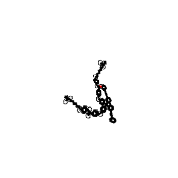 C=CC(=O)OCCCCCCOc1ccc(OC(=O)c2ccc(Oc3ccc(C4(c5ccc(Oc6ccc(C(=O)Oc7ccc(OCCCCCCOC(=O)C=C)cc7)cc6)cc5)c5cc(C#Cc6ccccc6)ccc5-c5ccc(C#Cc6ccccc6)cc54)cc3)cc2)cc1